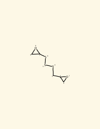 C1OC1CSSSC1CO1